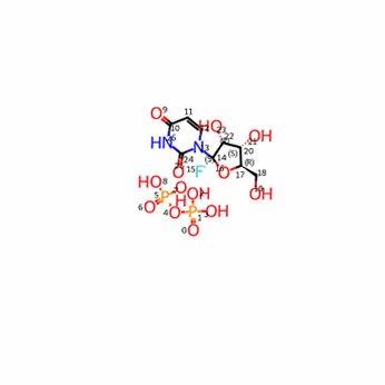 O=P(O)(O)OP(=O)(O)O.O=c1ccn([C@]2(F)O[C@H](CO)[C@@H](O)[C@H]2O)c(=O)[nH]1